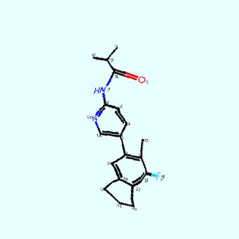 Cc1c(-c2ccc(NC(=O)C(C)C)nc2)cc2c(c1F)CCC2